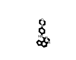 c1nc(NC2CCC(N3CCOCC3)CC2)c2c3c(ccc2n1)CCC3